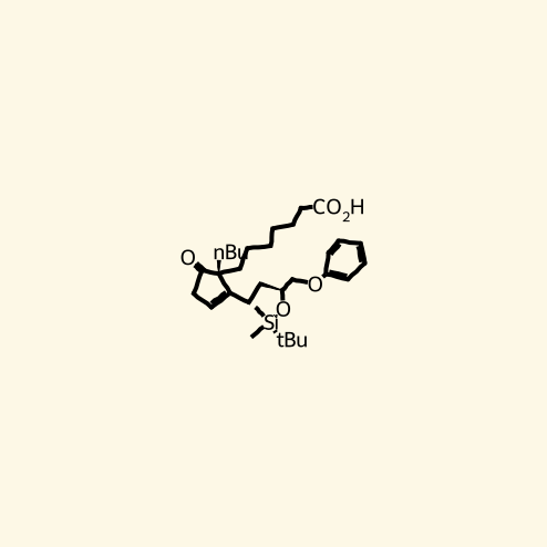 CCCC[C@]1(CCCCCCC(=O)O)C(=O)CC=C1CC[C@@H](COc1ccccc1)O[Si](C)(C)C(C)(C)C